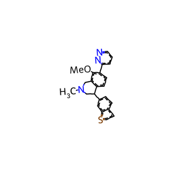 COc1c(-c2cccnn2)ccc2c1CN(C)CC2c1ccc2ccsc2c1